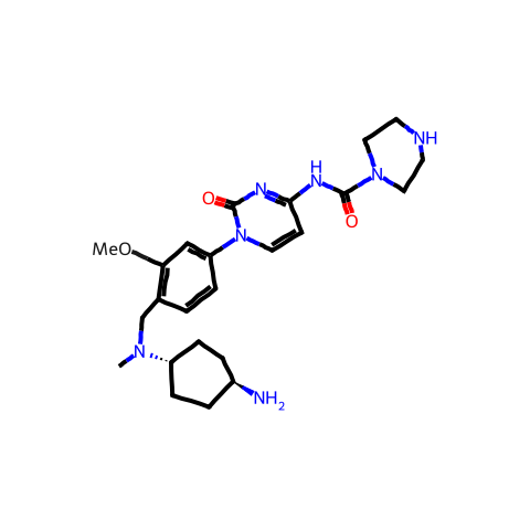 COc1cc(-n2ccc(NC(=O)N3CCNCC3)nc2=O)ccc1CN(C)[C@H]1CC[C@H](N)CC1